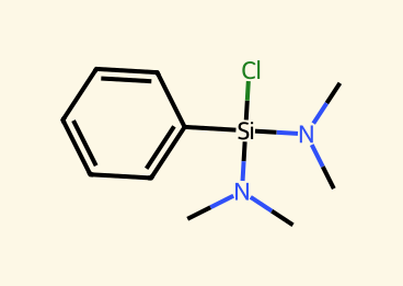 CN(C)[Si](Cl)(c1ccccc1)N(C)C